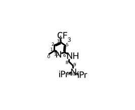 Cc1cc(C(F)(F)F)cc(NCCN(C(C)C)C(C)C)n1